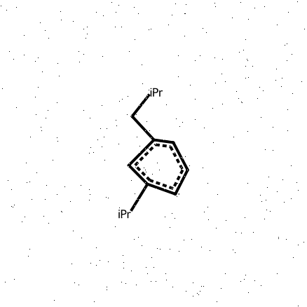 CC(C)Cc1cc[c]c(C(C)C)c1